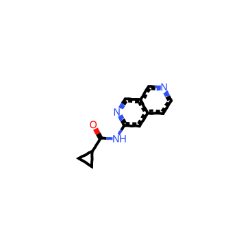 O=C(Nc1cc2ccncc2cn1)C1CC1